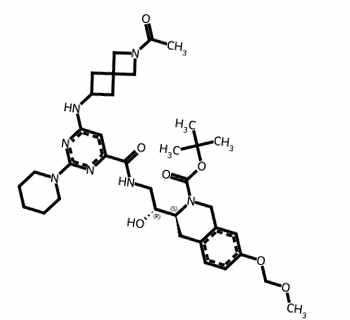 COCOc1ccc2c(c1)CN(C(=O)OC(C)(C)C)[C@H]([C@H](O)CNC(=O)c1cc(NC3CC4(C3)CN(C(C)=O)C4)nc(N3CCCCC3)n1)C2